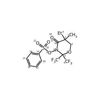 CCC1(C)COC(C(F)(F)F)(C(F)(F)F)N(OS(=O)(=O)c2ccccc2)C1=O